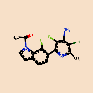 CC(=O)n1ccc2ccc(-c3nc(C)c(Cl)c(N)c3F)c(F)c21